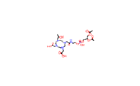 CC(=O)OC[C@H](COP(=O)(O)OCCNC(=O)CN1CCN(CC(=O)O)CCN(CC(=O)O)CCN(CC(C)O)CC1)OC(C)=O